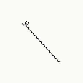 [CH2]CCCCCCCCCCCCCCCCCCCCCCCCC[Si](CC)(CC)CC